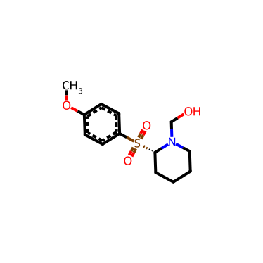 COc1ccc(S(=O)(=O)[C@H]2CCCCN2CO)cc1